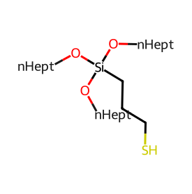 CCCCCCCO[Si](CCCS)(OCCCCCCC)OCCCCCCC